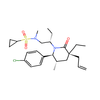 C=CC[C@@]1(CC)C[C@H](C)[C@@H](c2ccc(Cl)cc2)N([C@@H](CC)CN(C)S(=O)(=O)C2CC2)C1=O